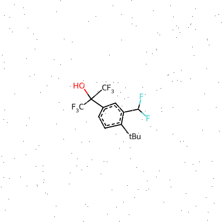 CC(C)(C)c1ccc(C(O)(C(F)(F)F)C(F)(F)F)cc1C(F)F